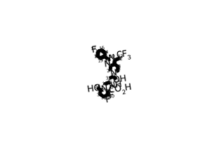 O=C(O)N[C@@H](CC(O)N1CCc2c(nc(-c3ccc(F)cc3)nc2CC(F)(F)F)C1)CN1CC(F)(F)CCC1O